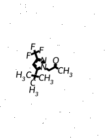 CC(=O)Cn1nc(C(F)(F)F)cc1C(C)(C)C